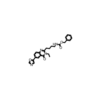 CCn1c(CCCCNC(=O)OCc2ccccc2)nc2ccc(-c3cnco3)cc2c1=O